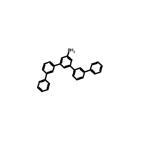 Bc1cc(-c2cccc(-c3ccccc3)c2)cc(-c2cccc(-c3ccccc3)c2)c1